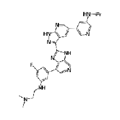 CC(C)Nc1cncc(-c2cnc3[nH]nc(-c4nc5c(-c6cc(F)cc(NCCN(C)C)c6)cncc5[nH]4)c3c2)c1